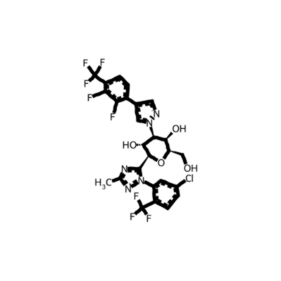 Cc1nc([C@@H]2O[C@H](CO)[C@H](O)[C@H](n3cc(-c4ccc(C(F)(F)F)c(F)c4F)cn3)[C@H]2O)n(-c2cc(Cl)ccc2C(F)(F)F)n1